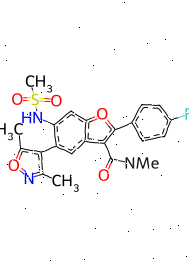 CNC(=O)c1c(-c2ccc(F)cc2)oc2cc(NS(C)(=O)=O)c(-c3c(C)noc3C)cc12